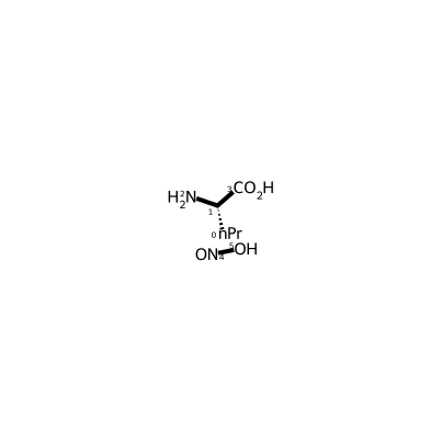 CCC[C@H](N)C(=O)O.O=NO